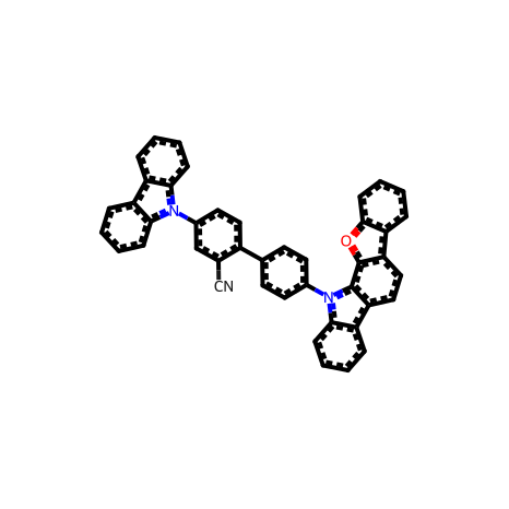 N#Cc1cc(-n2c3ccccc3c3ccccc32)ccc1-c1ccc(-n2c3ccccc3c3ccc4c5ccccc5oc4c32)cc1